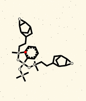 C[Si](C)(C)O[Si](O[Si](C)(C)CCC1CC2CC1C1OC21)(O[Si](C)(C)CCC1CC2CC1C1OC21)c1ccccc1